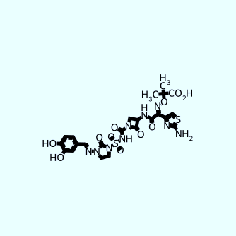 CC(C)(ON=C(C(=O)NC1CN(C(=O)NS(=O)(=O)N2CCN(N=Cc3ccc(O)c(O)c3)C2=O)C1=O)c1csc(N)n1)C(=O)O